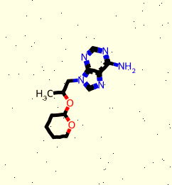 CC(Cn1cnc2c(N)ncnc21)OC1CCCCO1